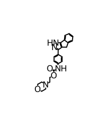 O=C(Nc1ccc(-c2n[nH]c3c2Cc2ccccc2-3)cc1)OCCN1CCOCC1